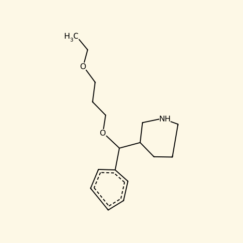 CCOCCCOC(c1ccccc1)C1CCCNC1